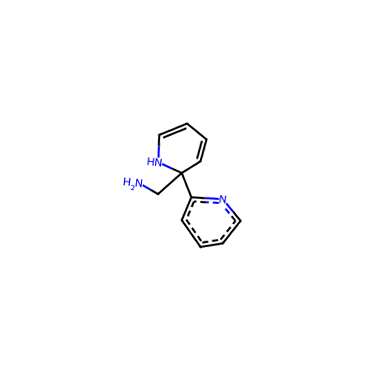 NCC1(c2ccccn2)C=CC=CN1